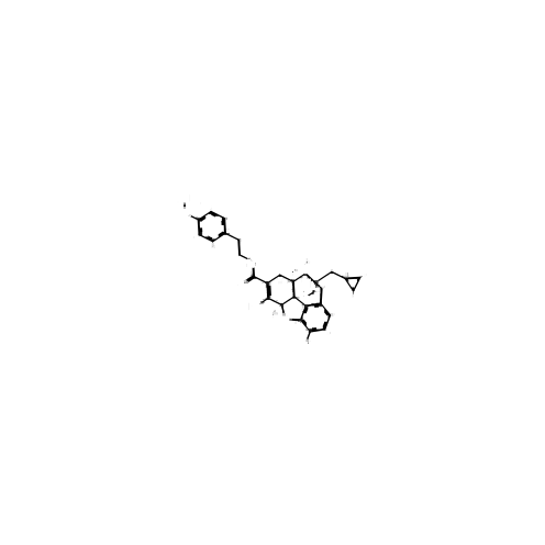 COc1ccc(CCNC(=O)C2=C(O)[C@@H]3Oc4c(O)ccc5c4[C@@]34CCN(CC3CC3)[C@H](C5)[C@]4(O)C2)cc1